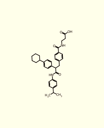 CC(C)c1ccc(NC(=O)C(Cc2ccc(C(=O)NCCC(=O)O)cc2)c2ccc(C3CCCCC3)cc2)cc1